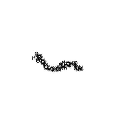 Cc1cc(-c2ncnc(Nc3ccc(N4CCN(CC5CCN(c6ccc(N7CCC(=O)NC7=O)cc6)CC5)CC4)cn3)c2F)ccc1[C@@H](C)NC(=O)c1nc(C(C)(C)C)no1